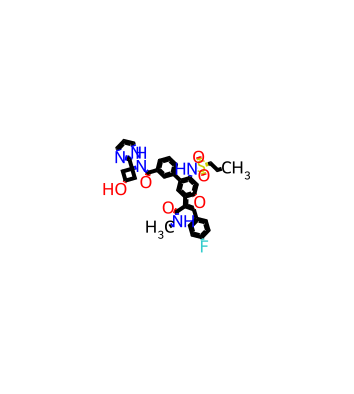 CCCS(=O)(=O)Nc1cc2oc(-c3ccc(F)cc3)c(C(=O)NC)c2cc1-c1cccc(C(=O)NC2(c3ncccn3)CC(O)C2)c1